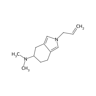 C=CCn1cc2c(c1)CC(N(C)C)CC2